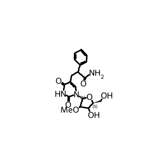 COC1C(O)[C@H](CO)O[C@@H]1n1cc(CC(C(N)=O)c2ccccc2)c(=O)[nH]c1=O